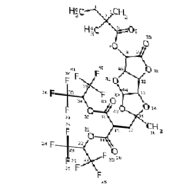 CCC(C)(C)C(=O)OC1C(=O)OC2C3OC(C)(CC(C(=O)OC(C(F)(F)F)C(F)(F)F)C(=O)OC(C(F)(F)F)C(F)(F)F)OC3OC12